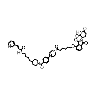 O=C(/C=C/c1cccnc1)NCCCCC1CCN(C(=O)c2ccc(N3CCN(C(=O)CCCCCOc4cccc5c4C(=O)N(C4CCC(=O)NC4=O)C5=O)CC3)cc2)CC1